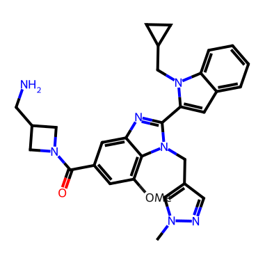 COc1cc(C(=O)N2CC(CN)C2)cc2nc(-c3cc4ccccc4n3CC3CC3)n(Cc3cnn(C)c3)c12